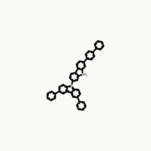 c1ccc(-c2ccc(-c3ccc4c(c3)[SiH2]c3cc(-n5c6ccc(-c7ccccc7)cc6c6cc(-c7ccccc7)ccc65)ccc3-4)cc2)cc1